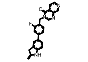 C=C1Cc2cc(-c3ccc(Cn4cnc5cnccc5c4=O)c(F)c3)ccc2N1